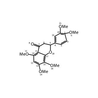 COc1ccc(C2CC(=O)c3c(OC)cc(OC)c(OC)c3O2)cc1OC